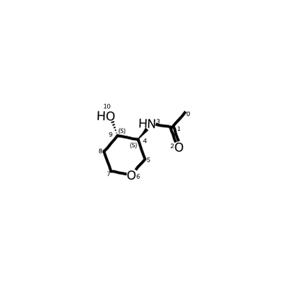 CC(=O)N[C@H]1COCC[C@@H]1O